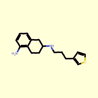 Nc1cccc2c1CCC(NCCCc1ccsc1)C2